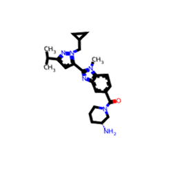 CC(C)c1cc(-c2nc3cc(C(=O)N4CCC[C@@H](N)C4)ccc3n2C)n(CC2CC2)n1